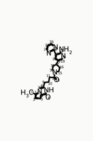 Cc1ccc2c(=O)[nH]c(CCCC(=O)N3CCC(c4cnc(N)c(-c5ncccn5)c4)CC3)cn12